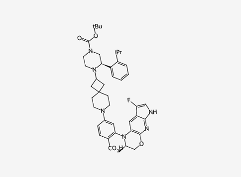 CC(C)c1ccccc1[C@@H]1CN(C(=O)OC(C)(C)C)CCN1C1CC2(CCN(c3ccc(C(=O)O)c(N4c5cc6c(F)c[nH]c6nc5OC[C@H]4C)c3)CC2)C1